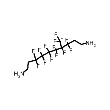 NCCC(F)(F)C(F)(F)C(F)(F)C(F)(F)C(F)(C(F)(F)F)C(F)(F)CCN